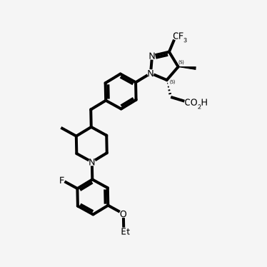 CCOc1ccc(F)c(N2CCC(Cc3ccc(N4N=C(C(F)(F)F)[C@@H](C)[C@@H]4CC(=O)O)cc3)C(C)C2)c1